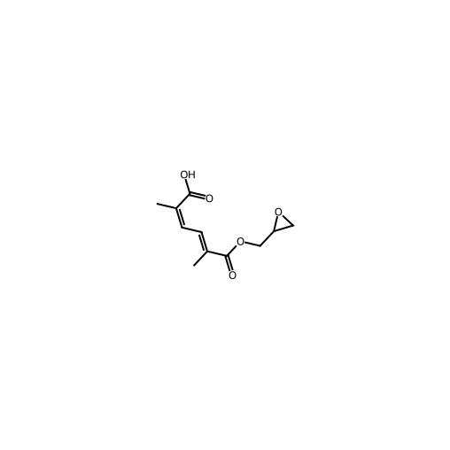 CC(=CC=C(C)C(=O)OCC1CO1)C(=O)O